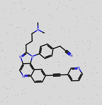 CN(C)CCCc1nc2cnc3ccc(C#Cc4cccnc4)cc3c2n1-c1ccc(CC#N)cc1